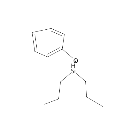 CCC[SiH](CCC)Oc1ccccc1